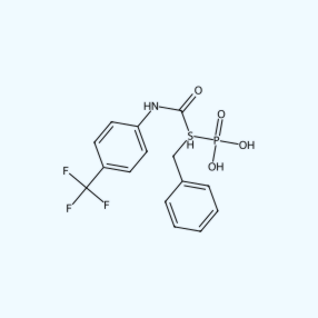 O=C(Nc1ccc(C(F)(F)F)cc1)[SH](Cc1ccccc1)P(=O)(O)O